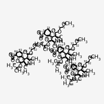 COCCOC(=O)C1=C(C)NC(C)=C(C(=O)OC(C)C)C1c1cccc([N+](=O)[O-])c1.COCCOC(=O)C1=C(C)NC(C)=C(C(=O)OC(C)C)C1c1cccc([N+](=O)[O-])c1.COCCOC(=O)C1=C(C)NC(C)=C(C(=O)OC(C)C)C1c1cccc([N+](=O)[O-])c1.COCCOC(=O)C1=C(C)NC(C)=C(C(=O)OC(C)C)C1c1cccc([N+](=O)[O-])c1